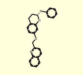 [CH]1C[C@H](Oc2ccccc2)Oc2cc(OCc3ccc4ccccc4n3)ccc21